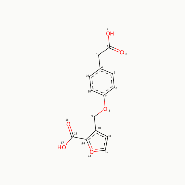 O=C(O)Cc1ccc(OCc2ccoc2C(=O)O)cc1